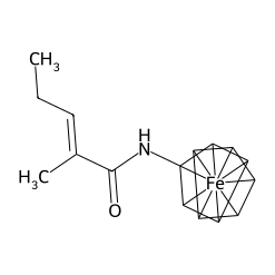 CCC=C(C)C(=O)N[C]12[CH]3[CH]4[CH]5[CH]1[Fe]45321678[CH]2[CH]1[CH]6[CH]7[CH]28